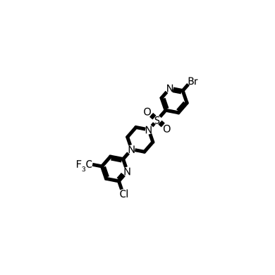 O=S(=O)(c1ccc(Br)nc1)N1CCN(c2cc(C(F)(F)F)cc(Cl)n2)CC1